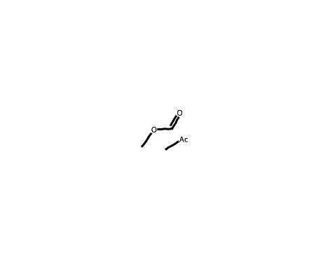 CC(C)=O.COC=O